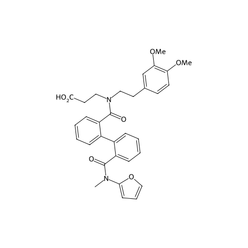 COc1ccc(CCN(CCC(=O)O)C(=O)c2ccccc2-c2ccccc2C(=O)N(C)c2ccco2)cc1OC